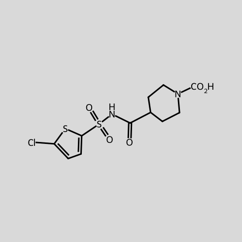 O=C(NS(=O)(=O)c1ccc(Cl)s1)C1CCN(C(=O)O)CC1